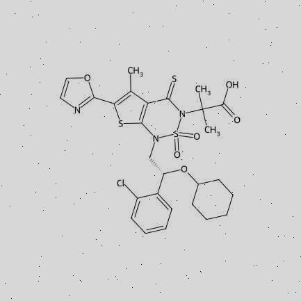 Cc1c(-c2ncco2)sc2c1C(=S)N(C(C)(C)C(=O)O)S(=O)(=O)N2C[C@H](OC1CCCCC1)c1ccccc1Cl